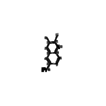 Cc1cc2cc(C(C)C)ccc2nc1C